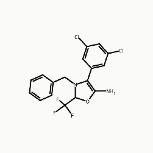 NC1=C(c2cc(Cl)cc(Cl)c2)N(Cc2ccccc2)C(C(F)(F)F)O1